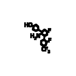 Nc1c(-c2ccc(O)cc2)cc(F)cc1-c1ccc(C(F)(F)F)cc1F